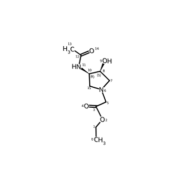 CCOC(=O)CN1C[C@H](O)[C@H](NC(C)=O)C1